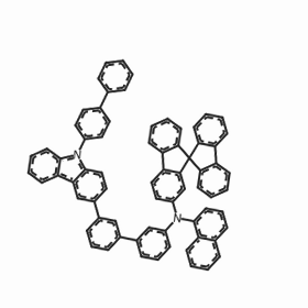 c1ccc(-c2ccc(-n3c4ccccc4c4cc(-c5cccc(-c6cccc(N(c7ccc8c(c7)C7(c9ccccc9-c9ccccc97)c7ccccc7-8)c7cccc8ccccc78)c6)c5)ccc43)cc2)cc1